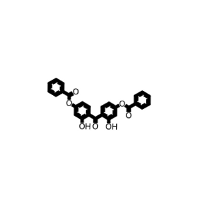 O=C(Oc1ccc(C(=O)c2ccc(OC(=O)c3ccccc3)cc2O)c(O)c1)c1ccccc1